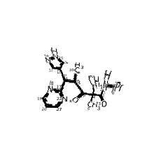 CC(C)NC(=O)C(C)(C)C(=O)C(C)C(c1cn[nH]c1)c1ncccn1